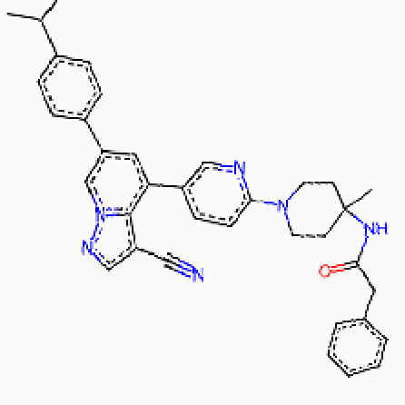 CC(C)c1ccc(-c2cc(-c3ccc(N4CCC(C)(NC(=O)Cc5ccccc5)CC4)nc3)c3c(C#N)cnn3c2)cc1